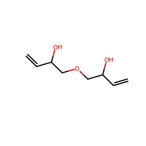 C=CC(O)COCC(O)C=C